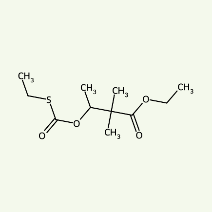 CCOC(=O)C(C)(C)C(C)OC(=O)SCC